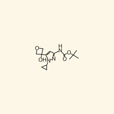 CC(C)(C)OC(=O)Nc1cc(C2(O)COC2)n(C2CC2)n1